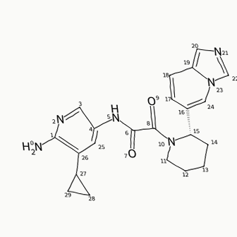 Nc1ncc(NC(=O)C(=O)N2CCCC[C@H]2c2ccc3cncn3c2)cc1C1CC1